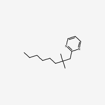 CCCCCCC(C)(C)Cc1ncccn1